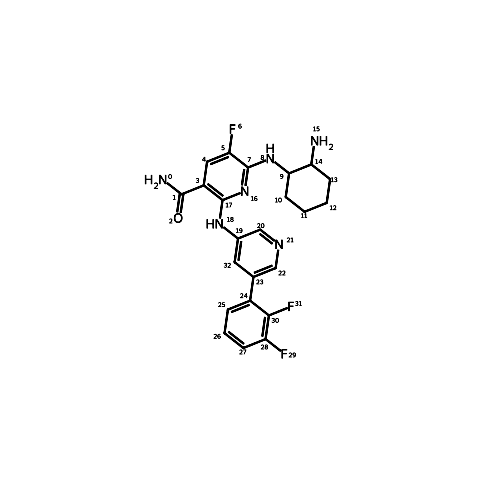 NC(=O)c1cc(F)c(NC2CCCCC2N)nc1Nc1cncc(-c2cccc(F)c2F)c1